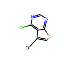 CCc1csc2ncnc(Cl)c12